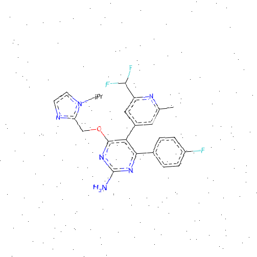 Cc1cc(-c2c(OCc3nccn3C(C)C)nc(N)nc2-c2ccc(F)cc2)cc(C(F)F)n1